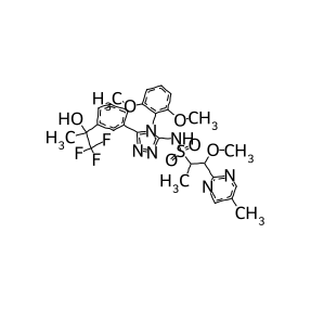 COc1cccc(OC)c1-n1c(NS(=O)(=O)C(C)C(OC)c2ncc(C)cn2)nnc1-c1cccc(C(C)(O)C(F)(F)F)c1